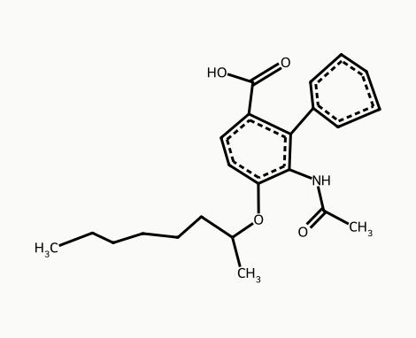 CCCCCCC(C)Oc1ccc(C(=O)O)c(-c2ccccc2)c1NC(C)=O